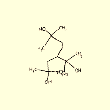 CC(C)(O)CC(CC(C)(C)O)C(C)(C)O